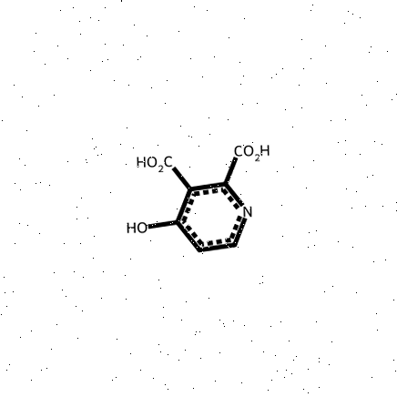 O=C(O)c1nccc(O)c1C(=O)O